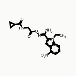 NC(=NOC(=O)CNC(=O)C1CC1)c1cc2c([N+](=O)[O-])cccc2n1CC(F)(F)F